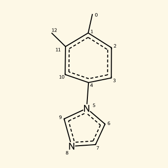 Cc1ccc(-n2ccnc2)cc1C